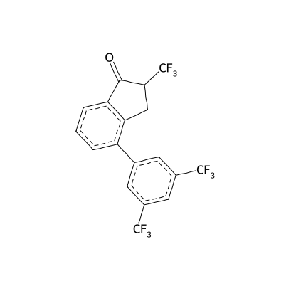 O=C1c2cccc(-c3cc(C(F)(F)F)cc(C(F)(F)F)c3)c2CC1C(F)(F)F